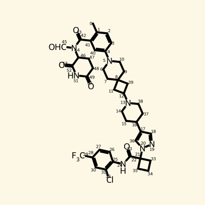 Cc1ccc(N2CCC3(CC2)CC(N2CCC(c4cnn(C5(C(=O)Nc6ccc(C(F)(F)F)cc6Cl)CCC5)c4)CC2)C3)cc1C(=O)N(C=O)C1CCC(=O)NC1=O